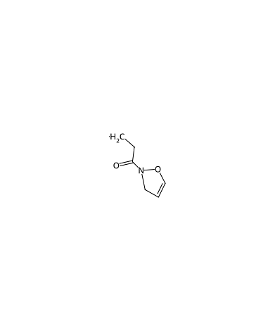 [CH2]CC(=O)N1CC=CO1